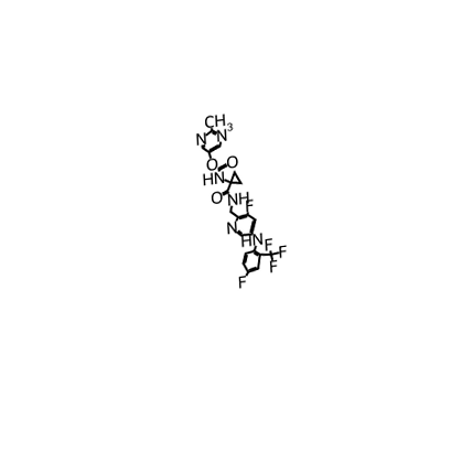 Cc1ncc(OC(=O)NC2(C(=O)NCc3ncc(Nc4ccc(F)cc4C(F)(F)F)cc3F)CC2)cn1